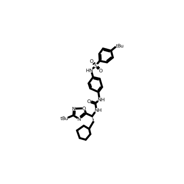 CC(C)(C)c1ccc(S(=O)(=O)Nc2ccc(NC(=O)N[C@H](CC3CCCCC3)c3nc(C(C)(C)C)no3)cc2)cc1